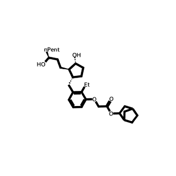 CCCCC[C@H](O)CC[C@@H]1[C@@H](Cc2cccc(OCC(=O)OC3CC4CCC3C4)c2CC)CC[C@H]1O